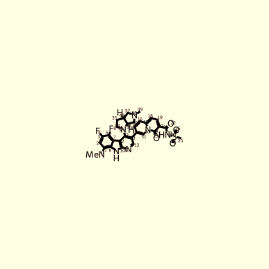 CNc1cc(F)c(F)c2c1[nH]c1ncc(-c3ccc4ccc(C(=O)NS(C)(=O)=O)c(=O)n4c3)c(N3CC[C@H]4CN(C)C[C@H]43)c12